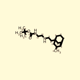 CC1C=C2CCCC(CCNCCNC(=O)OC(C)(C)C)(C2)C1